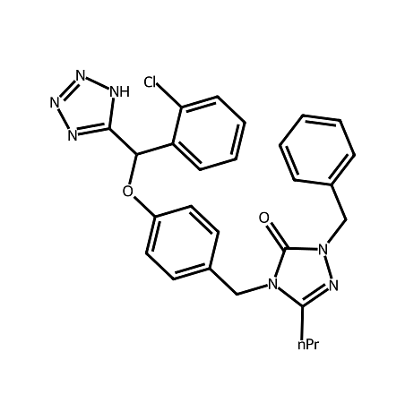 CCCc1nn(Cc2ccccc2)c(=O)n1Cc1ccc(OC(c2nnn[nH]2)c2ccccc2Cl)cc1